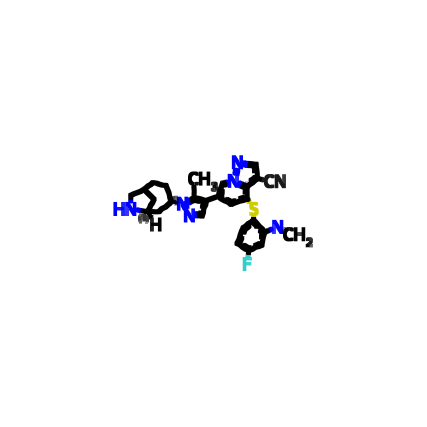 C=Nc1cc(F)ccc1Sc1cc(-c2cnn([C@H]3CCC4CN[C@H](C4)C3)c2C)cn2ncc(C#N)c12